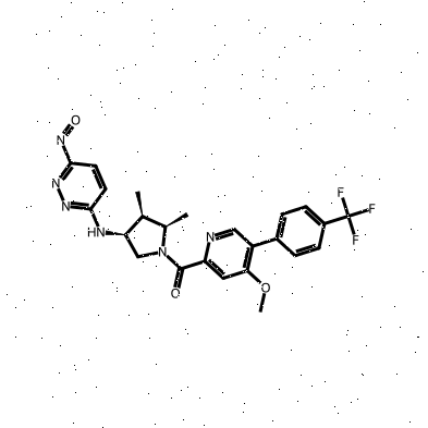 COc1cc(C(=O)N2C[C@@H](Nc3ccc(N=O)nn3)[C@@H](C)[C@H]2C)ncc1-c1ccc(C(F)(F)F)cc1